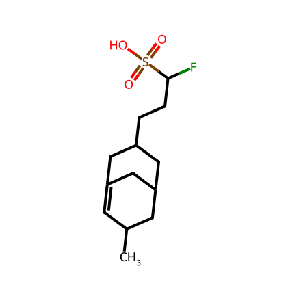 CC1C=C2CC(CCC(F)S(=O)(=O)O)CC(C2)C1